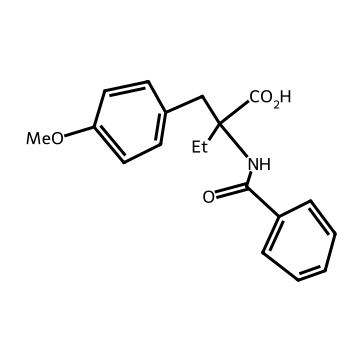 CCC(Cc1ccc(OC)cc1)(NC(=O)c1ccccc1)C(=O)O